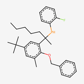 CCCCCC(C)(Pc1ccccc1F)c1cc(C(C)(C)C)cc(C)c1OCc1ccccc1